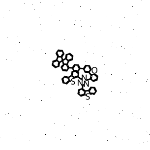 c1ccc2c(c1)-c1ccccc1C21c2ccccc2-c2c(-c3ccc(-c4ccc5oc6cccc(-c7nc(-c8cccc9c8sc8ccccc89)nc(-c8cccc9sc%10ccccc%10c89)n7)c6c5c4)cc3)cccc21